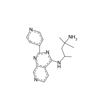 CC(CC(C)(C)N)Nc1nc(-c2ccncc2)nc2cnccc12